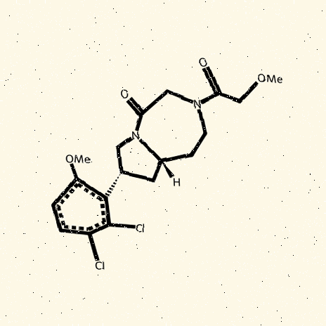 COCC(=O)N1CC[C@@H]2C[C@H](c3c(OC)ccc(Cl)c3Cl)CN2C(=O)C1